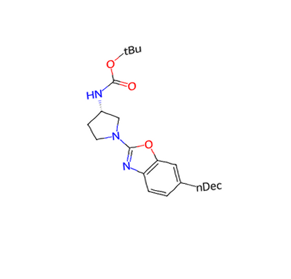 CCCCCCCCCCc1ccc2nc(N3CC[C@H](NC(=O)OC(C)(C)C)C3)oc2c1